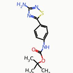 CC(C)(C)OC(=O)Nc1ccc(-c2nc(N)ns2)cc1